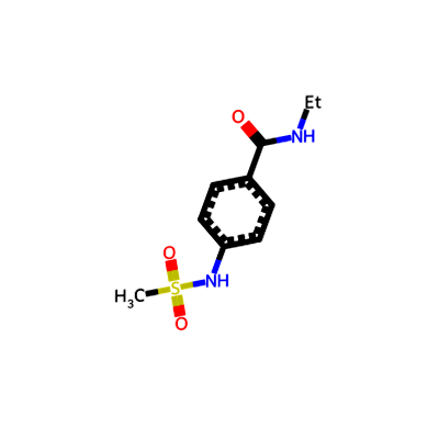 CCNC(=O)c1ccc(NS(C)(=O)=O)cc1